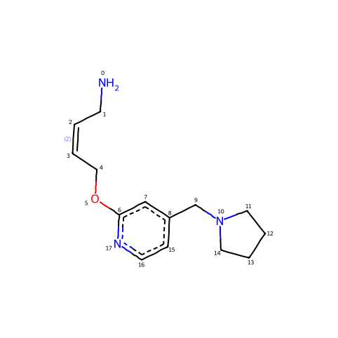 NC/C=C\COc1cc(CN2CCCC2)ccn1